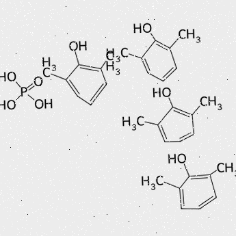 Cc1cccc(C)c1O.Cc1cccc(C)c1O.Cc1cccc(C)c1O.Cc1cccc(C)c1O.O=P(O)(O)O